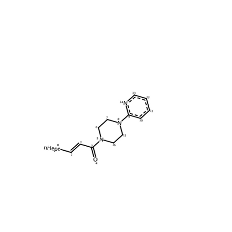 CCCCCCCC=CC(=O)N1CCN(c2ccccn2)CC1